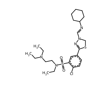 CCN(CC)CCN(CC)S(=O)(=O)c1cc(C2=NN(C=NC3CCCCC3)CS2)ccc1Cl